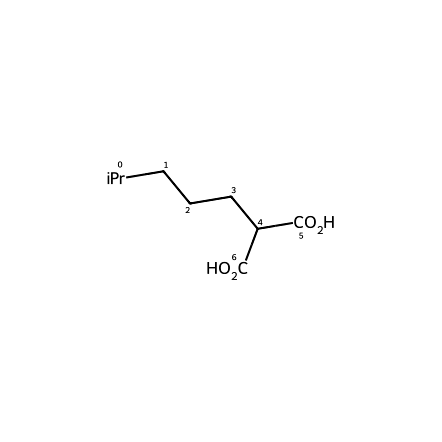 CC(C)CCCC(C(=O)O)C(=O)O